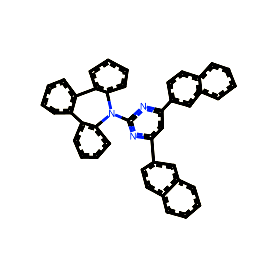 c1ccc2c(c1)-c1ccccc1N(c1nc(-c3ccc4ccccc4c3)cc(-c3ccc4ccccc4c3)n1)c1ccccc1-2